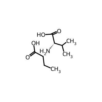 CC(C)[C@H](N)C(=O)O.CCCC(=O)O